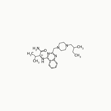 CCC(C)CN1CCN(Cc2nc(N[C@H](C(N)=O)C(C)C)c3ccccc3n2)CC1